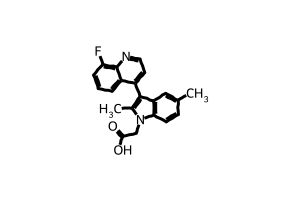 Cc1ccc2c(c1)c(-c1ccnc3c(F)cccc13)c(C)n2CC(=O)O